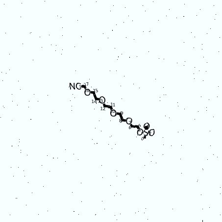 CS(=O)(=O)OCCOCCOCCOCCOCC#N